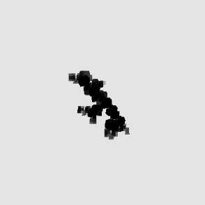 Cc1c[nH]c2ncc(Oc3cc(N4CCC5(CC4)CC(N4CCC[C@H]4c4ccccc4C(C)C)C5)ccc3C(=O)NS(=O)(=O)c3cc4c(c([N+](=O)[O-])c3)N[C@@H](C3CCC(C)(C)CC3)CO4)cc12